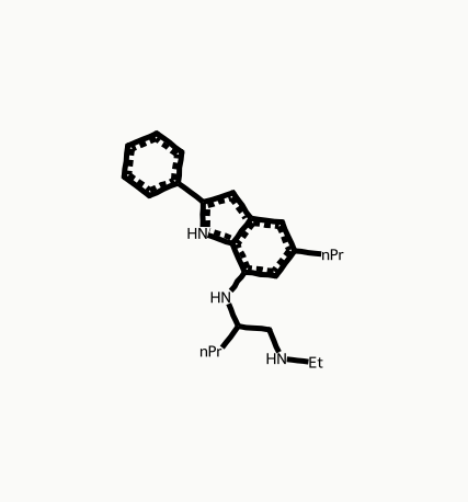 CCCc1cc(NC(CCC)CNCC)c2[nH]c(-c3ccccc3)cc2c1